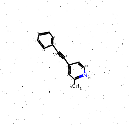 Cc1cc(C#Cc2ccccc2)ccn1